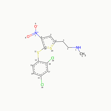 CNCCc1cc([N+](=O)[O-])c(Sc2ccc(Cl)cc2Cl)s1